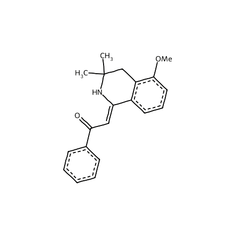 COc1cccc2c1CC(C)(C)NC2=CC(=O)c1ccccc1